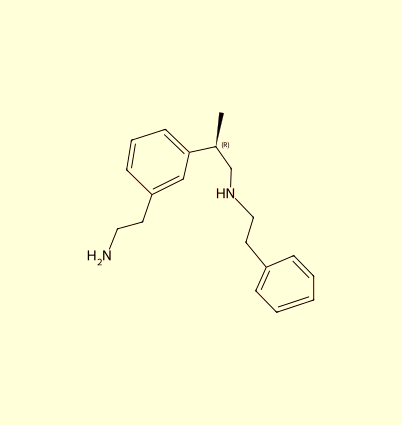 C[C@@H](CNCCc1ccccc1)c1cccc(CCN)c1